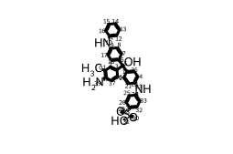 Cc1cc(C(O)(c2ccc(Nc3ccccc3)cc2)c2ccc(Nc3ccc(S(=O)(=O)O)cc3)cc2)ccc1N